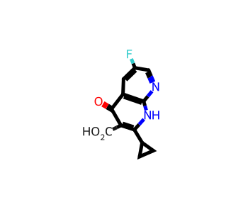 O=C(O)c1c(C2CC2)[nH]c2ncc(F)cc2c1=O